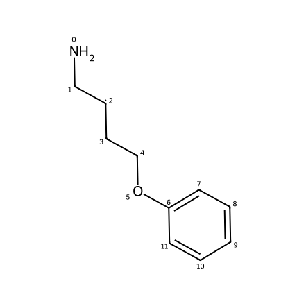 NC[CH]CCOc1ccccc1